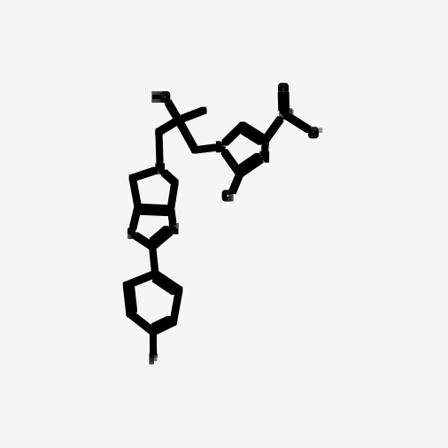 CC(O)(CN1Cc2nc(-c3ccc(F)cc3)sc2C1)Cn1cc([N+](=O)[O-])nc1Cl